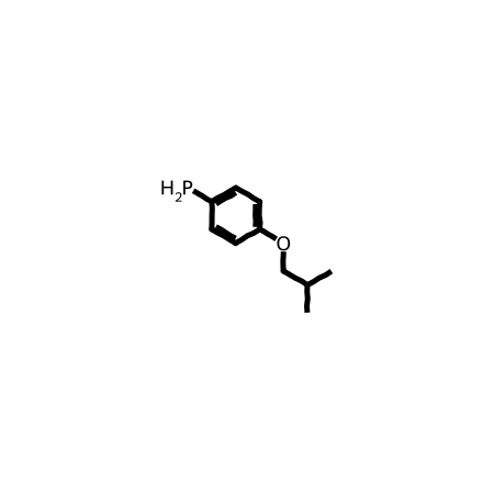 CC(C)COc1ccc(P)cc1